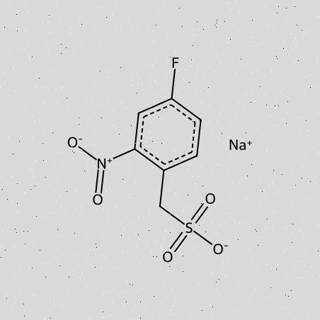 O=[N+]([O-])c1cc(F)ccc1CS(=O)(=O)[O-].[Na+]